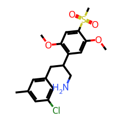 COc1cc(S(C)(=O)=O)c(OC)cc1C(CN)Cc1cc(C)cc(Cl)c1